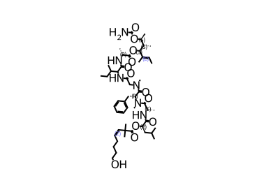 C/C=C(\C)[C@@H](OC(=O)[C@@H](C)NC(=O)C(NC(=O)CN(C)C(=O)[C@@H](Cc1ccccc1)N(C)C(=O)[C@H](C)NC(=O)[C@@H](CC(C)C)OC(=O)C(C)(C)/C=C\CCCCO)C(C)CC)[C@@H](C)[C@H](C)OC(N)=O